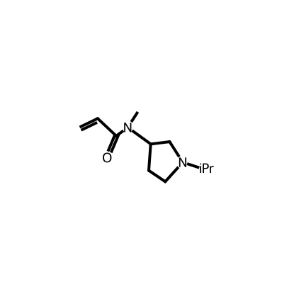 C=CC(=O)N(C)C1CCN(C(C)C)C1